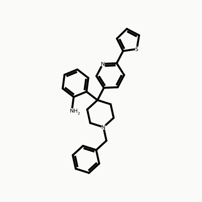 Nc1ccccc1C1(c2ccc(-c3cccs3)nc2)CCN(Cc2ccccc2)CC1